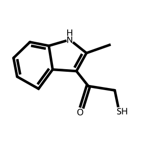 Cc1[nH]c2ccccc2c1C(=O)CS